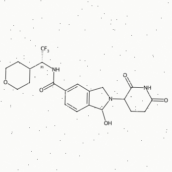 O=C1CCC(N2Cc3cc(C(=O)N[C@H](C4CCOCC4)C(F)(F)F)ccc3C2O)C(=O)N1